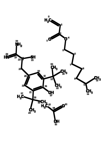 C=CC(=O)OCCCCCC(C)C.CC(=O)O.CC(C)(C)c1cc(CN(S)C(=N)N)cc(C(C)(C)C)c1O